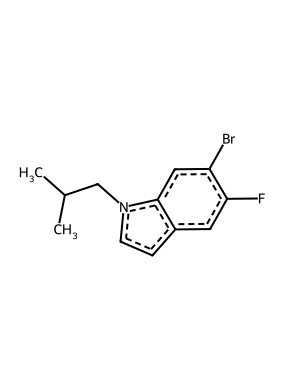 CC(C)Cn1ccc2cc(F)c(Br)cc21